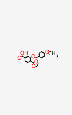 COc1ccc(COc2cc(C(=O)O)ccc2C2OCCO2)cc1